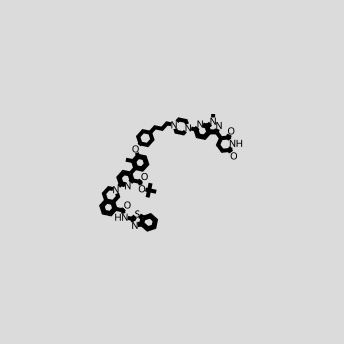 Cc1c(OC2CCC(CCCN3CCN(c4ccc5c(C6CCC(=O)NC6=O)nn(C)c5n4)CC3)CC2)cccc1-c1ccc(N2CCc3cccc(C(=O)Nc4nc5ccccc5s4)c3C2)nc1C(=O)OC(C)(C)C